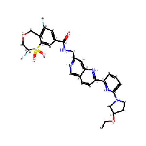 CCO[C@@H]1CCN(c2cccc(-c3ccc4cnc(CNC(=O)c5cc(F)c6c(c5)S(=O)(=O)[C@@H](F)COC6)cc4n3)n2)C1